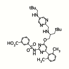 Cc1cccc(C)c1-c1cc(OCC(CC(C)(C)C)NCc2ncc(NCC(C)(C)C)cn2)nc(NS(=O)(=O)c2cccc(C(=O)O)c2)n1